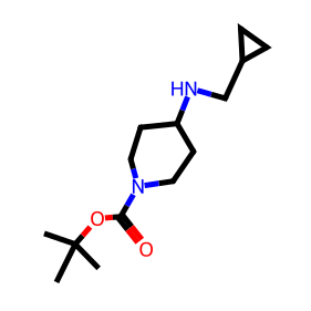 CC(C)(C)OC(=O)N1CCC(NCC2CC2)CC1